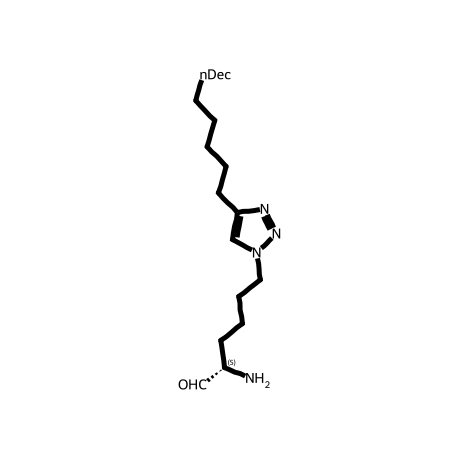 CCCCCCCCCCCCCCCc1cn(CCCC[C@H](N)C=O)nn1